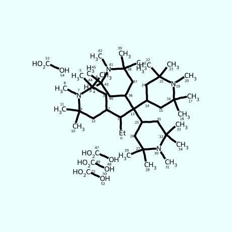 CCC(C1CC(C)(C)N(C)C(C)(C)C1)C(C1CC(C)(C)N(C)C(C)(C)C1)(C1CC(C)(C)N(C)C(C)(C)C1)C1CC(C)(C)N(C)C(C)(C)C1.O=C(O)O.O=C(O)O.O=C(O)O.O=C(O)O